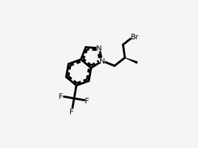 C[C@H](CBr)Cn1ncc2ccc(C(F)(F)F)cc21